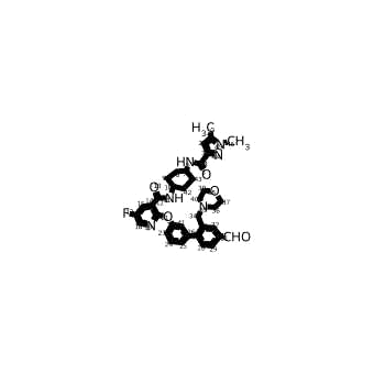 Cc1cc(C(=O)NC2CCC(NC(=O)c3cc(F)cnc3Oc3cccc(-c4ccc(C=O)cc4CN4CCOCC4)c3)CC2)nn1C